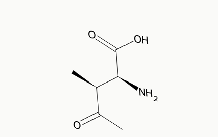 CC(=O)[C@@H](C)[C@H](N)C(=O)O